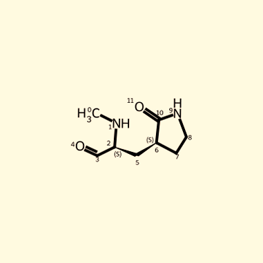 CN[C@H](C=O)C[C@@H]1CCNC1=O